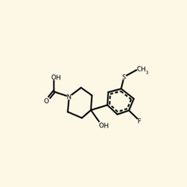 CSc1cc(F)cc(C2(O)CCN(C(=O)O)CC2)c1